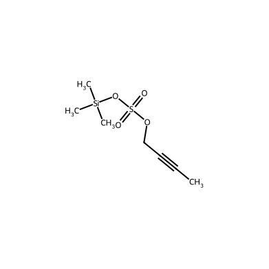 CC#CCOS(=O)(=O)O[Si](C)(C)C